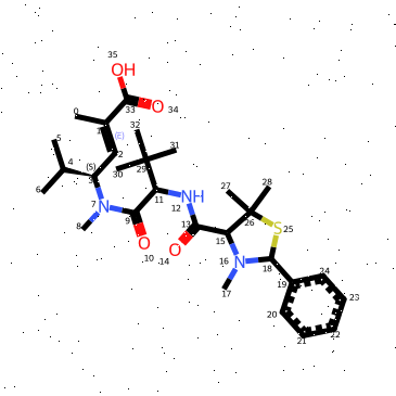 C/C(=C\[C@H](C(C)C)N(C)C(=O)C(NC(=O)C1N(C)C(c2ccccc2)SC1(C)C)C(C)(C)C)C(=O)O